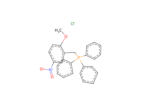 COc1ccc([N+](=O)[O-])cc1C[P+](c1ccccc1)(c1ccccc1)c1ccccc1.[Cl-]